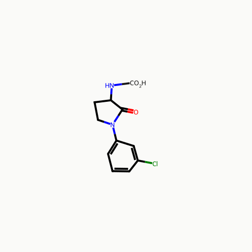 O=C(O)NC1CCN(c2cccc(Cl)c2)C1=O